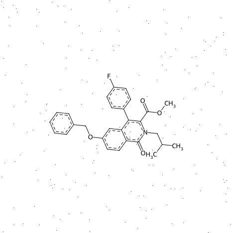 COC(=O)c1c(-c2ccc(F)cc2)c2cc(OCc3ccccc3)ccc2c(=O)n1CC(C)C